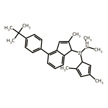 CC1=C[CH]([Zr]([CH]2C(C)=Cc3c(-c4ccc(C(C)(C)C)cc4)cccc32)[SiH](C)C)C(C)=C1